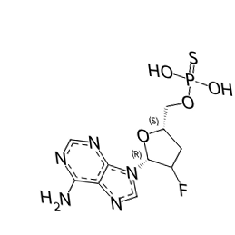 Nc1ncnc2c1ncn2[C@@H]1O[C@H](COP(O)(O)=S)CC1F